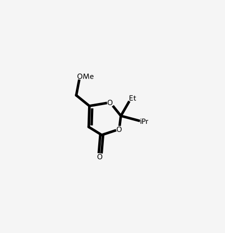 CCC1(C(C)C)OC(=O)C=C(COC)O1